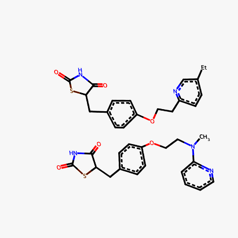 CCc1ccc(CCOc2ccc(CC3SC(=O)NC3=O)cc2)nc1.CN(CCOc1ccc(CC2SC(=O)NC2=O)cc1)c1ccccn1